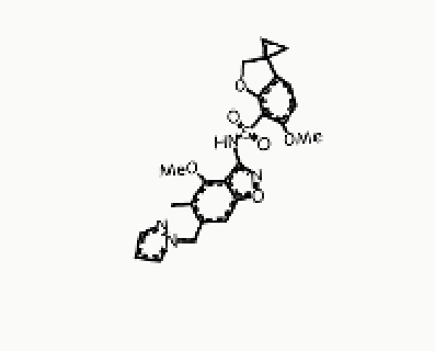 COc1ccc2c(c1S(=O)(=O)Nc1noc3cc(Cn4cccn4)c(C)c(OC)c13)OCC21CC1